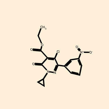 CCOC(=O)c1c(Cl)c(-c2cccc([N+](=O)[O-])c2)nn(C2CC2)c1=O